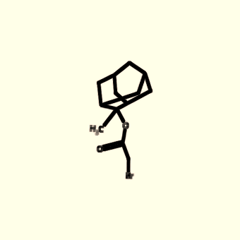 CC1(OC(=O)CBr)C2CC3CC(C2)CC1C3